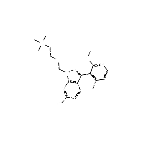 COc1nccc(C)c1-c1nn(COCC[Si](C)(C)C)c2nc(Cl)ccc12